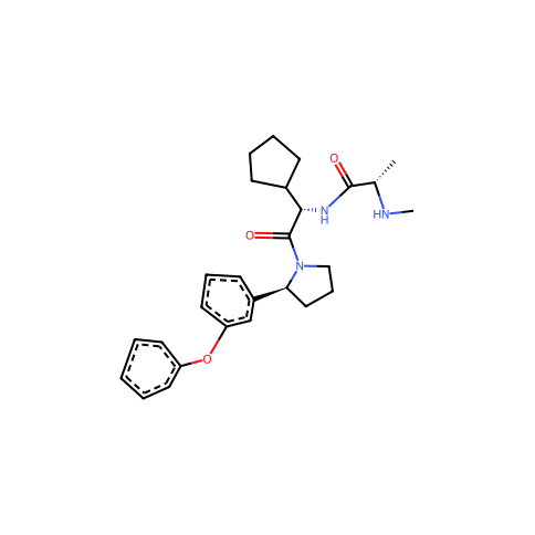 CN[C@@H](C)C(=O)N[C@H](C(=O)N1CCC[C@H]1c1cccc(Oc2ccccc2)c1)C1CCCC1